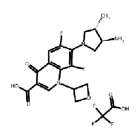 C[C@H]1CN(c2c(F)cc3c(=O)c(C(=O)O)cn(C4COC4)c3c2F)C[C@@H]1N.O=C(O)C(F)(F)F